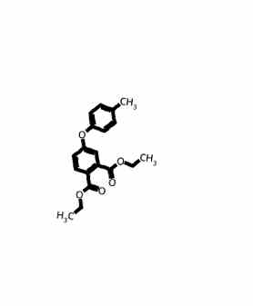 CCOC(=O)c1ccc(Oc2ccc(C)cc2)cc1C(=O)OCC